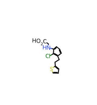 O=C(O)CNc1cccc(CCc2cccs2)c1Cl